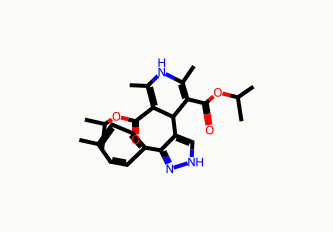 CC1=C(C(=O)OC(C)C)C(c2c[nH]nc2-c2ccc(C)cc2)C(C(=O)OC(C)C)=C(C)N1